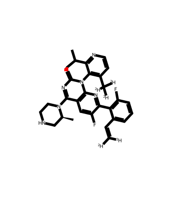 [2H]C([2H])=Cc1cccc(F)c1-c1nc2c(cc1F)c(N1CCNC[C@@H]1C)nc(=O)n2-c1c(C([2H])([2H])[2H])ccnc1C(C)C